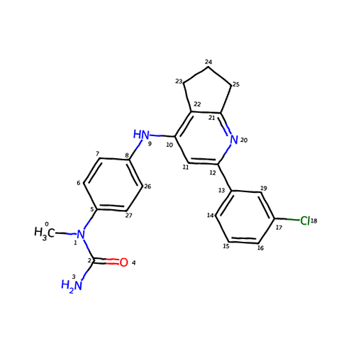 CN(C(N)=O)c1ccc(Nc2cc(-c3cccc(Cl)c3)nc3c2CCC3)cc1